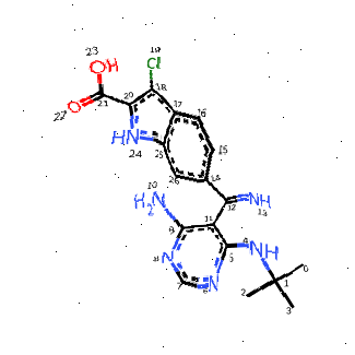 CC(C)(C)Nc1ncnc(N)c1C(=N)c1ccc2c(Cl)c(C(=O)O)[nH]c2c1